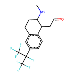 CNC1CCc2cc(C(F)(C(F)(F)F)C(F)(F)F)ccc2C1CC=O